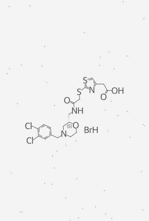 Br.O=C(O)Cc1csc(SCC(=O)NC[C@H]2CN(Cc3ccc(Cl)c(Cl)c3)CCO2)n1